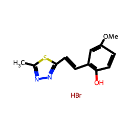 Br.COc1ccc(O)c(C=Cc2nnc(C)s2)c1